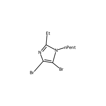 CCCCCn1c(CC)nc(Br)c1Br